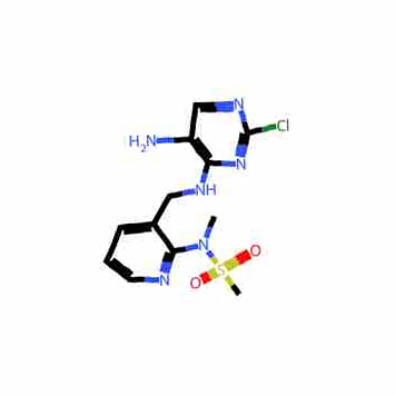 CN(c1ncccc1CNc1nc(Cl)ncc1N)S(C)(=O)=O